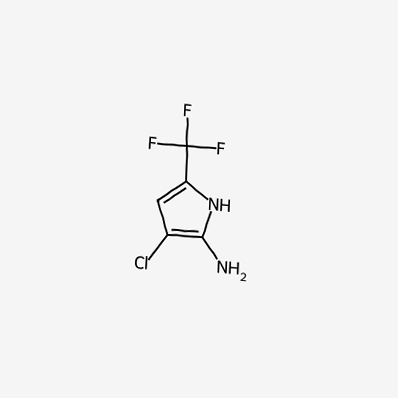 Nc1[nH]c(C(F)(F)F)cc1Cl